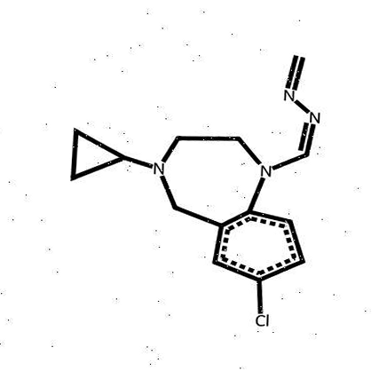 C=N/N=C\N1CCN(C2CC2)Cc2cc(Cl)ccc21